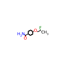 C[C@@H](F)COc1ccc(C(N)=O)cc1